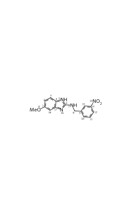 COc1ccc2[nH]c(NCc3cccc([N+](=O)[O-])c3)nc2c1